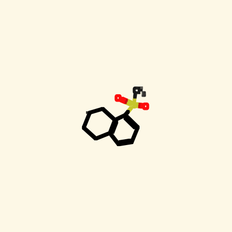 O=S(=O)(c1cccc2c1C[CH]CC2)C(F)(F)F